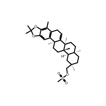 Cc1c2c(cc3c1OC(C)(C)O3)[C@]1(C)CC[C@@]3(C)[C@@H]4C[C@](C)(COS(C)(=O)=O)CC[C@]4(C)CC[C@]3(C)C1=CC2